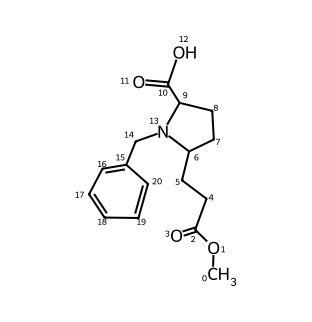 COC(=O)CCC1CCC(C(=O)O)N1Cc1ccccc1